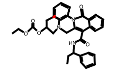 CCOC(=O)OC1CCCN(Cc2c(C(=O)NC(CC)c3ccccc3)c3ccccc3c(=O)n2-c2ccccc2)C1